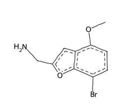 COc1ccc(Br)c2oc(CN)cc12